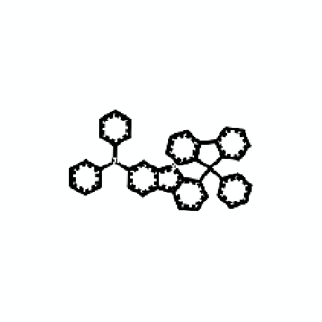 c1ccc(N(c2ccccc2)c2ccc3c(c2)sc2c(C4(c5ccccc5)c5ccccc5-c5ccccc54)cccc23)cc1